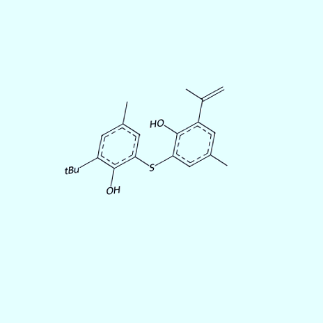 C=C(C)c1cc(C)cc(Sc2cc(C)cc(C(C)(C)C)c2O)c1O